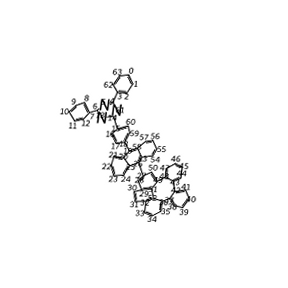 c1ccc(-c2nc(-c3ccccc3)nc(-c3ccc(-c4c5ccccc5c(-c5cc6ccc7cccc8c9ccccc9c9ccccc9c(c5)c6c78)c5ccccc45)cc3)n2)cc1